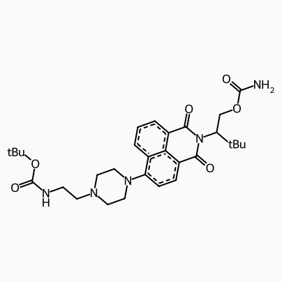 CC(C)(C)OC(=O)NCCN1CCN(c2ccc3c4c(cccc24)C(=O)N(C(COC(N)=O)C(C)(C)C)C3=O)CC1